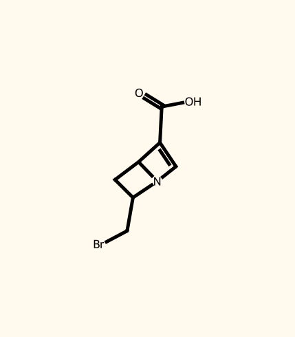 O=C(O)C1=CN2C(CBr)CC12